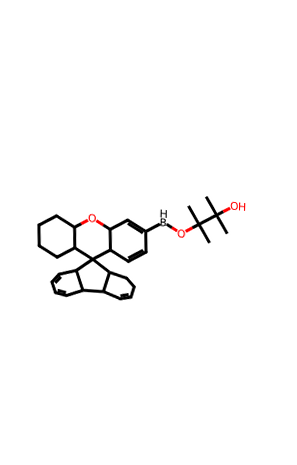 CC(C)(O)C(C)(C)OBC1=CC2OC3CCCCC3C3(C2C=C1)C1C=CC=CC1C1C=CCCC13